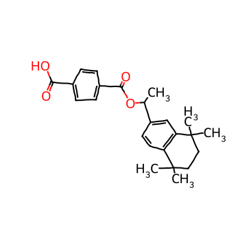 CC(OC(=O)c1ccc(C(=O)O)cc1)c1ccc2c(c1)C(C)(C)CCC2(C)C